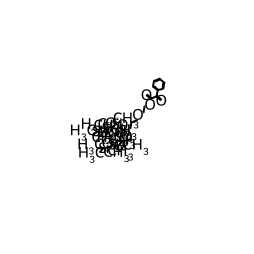 C[Si](C)(C)O[Si](C)(C)O[Si](C)(C)O[Si](C)(CCCOCCOC(=O)C(=O)c1ccccc1)O[Si](C)(C)O[Si](C)(C)O[Si](C)(C)C